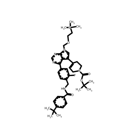 CC(C)(C)OC(=O)N1CC=C(c2cn(COCC[Si](C)(C)C)c3ncnc(-c4ccc(CNC(=O)c5ccc(C(C)(C)C)cc5)c(F)c4)c23)CC1